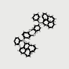 c1ccc(N(c2ccc3c(c2)Oc2ccc(N(c4ccccc4)c4cc5cccc6ccc7cccc4c7c65)cc2O3)c2cc3cccc4ccc5cccc2c5c43)cc1